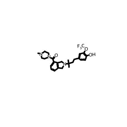 CN1CCN(C(=O)c2cccc3c2CN(C(C)(C)CCc2ccc(O)c(OC(F)(F)F)c2)C3)CC1